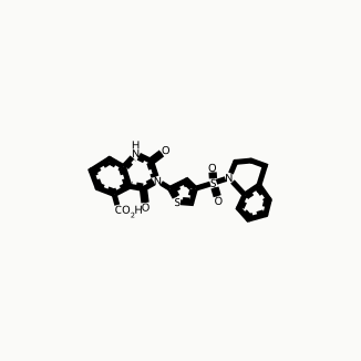 O=C(O)c1cccc2[nH]c(=O)n(-c3cc(S(=O)(=O)N4CCCc5ccccc54)cs3)c(=O)c12